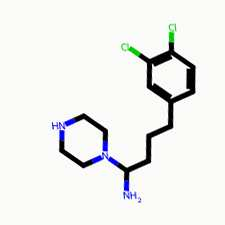 NC(CCCc1ccc(Cl)c(Cl)c1)N1CCNCC1